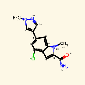 Cn1cc(-c2cc(Cl)c3cc(C(N)=O)n(C)c3c2)cn1